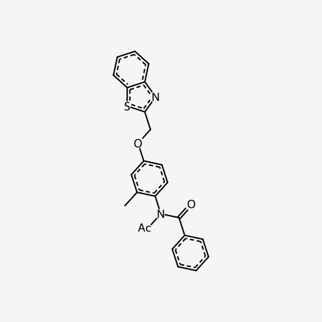 CC(=O)N(C(=O)c1ccccc1)c1ccc(OCc2nc3ccccc3s2)cc1C